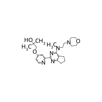 CN(CCN1CCOCC1)c1nc(-c2cc(OCC(C)(C)O)ccn2)nc2c1CCC2